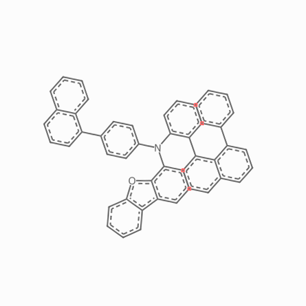 c1ccc(-c2cccc3cccc(-c4ccccc4N(c4ccc(-c5cccc6ccccc56)cc4)c4cccc5c4oc4ccccc45)c23)cc1